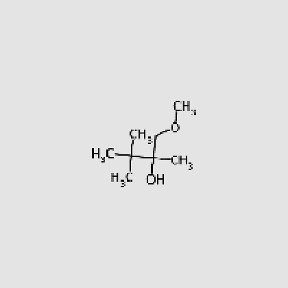 COCC(C)(O)C(C)(C)C